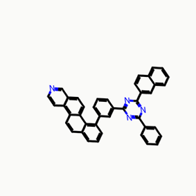 c1ccc(-c2nc(-c3cccc(-c4cccc5ccc6c7ccncc7ccc6c45)c3)nc(-c3ccc4ccccc4c3)n2)cc1